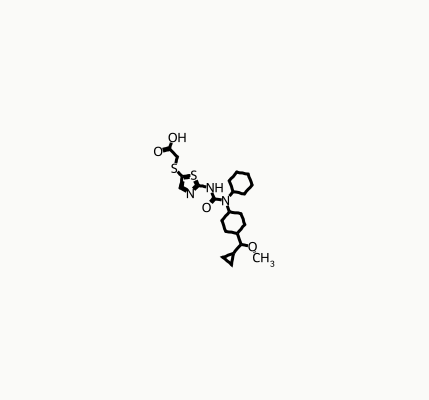 COC(C1CC1)C1CCC(N(C(=O)Nc2ncc(SCC(=O)O)s2)C2CCCCC2)CC1